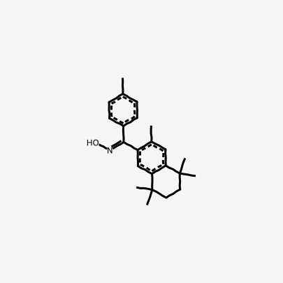 Cc1ccc(/C(=N\O)c2cc3c(cc2C)C(C)(C)CCC3(C)C)cc1